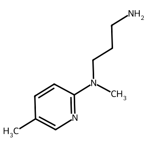 Cc1ccc(N(C)CCCN)nc1